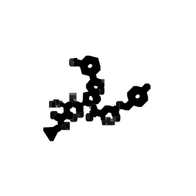 CCC[C@H](NC(=O)[C@@H]1C[C@]2(CC(c3cccc(Cl)c3)=NO2)CN1C(=O)[C@@H](CC(=O)OCc1ccc(C)cc1)C(C)(C)C)C(=O)C(=O)NC1CC1